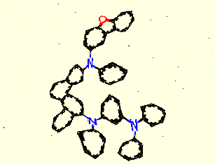 c1ccc(N(c2ccccc2)c2cccc(N(c3ccccc3)c3cc4c5cc(N(c6ccccc6)c6ccc7oc8ccccc8c7c6)ccc5ccc4c4ccccc34)c2)cc1